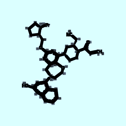 C=CC(=O)N1CCN(c2nc(OC[C@H]3CCCN3C(C)C)nc3c2OCCN(c2cc(O)cc4ccccc24)C3)C[C@@H]1CC#N